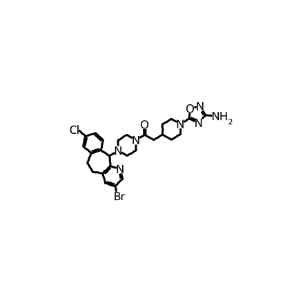 Nc1noc(N2CCC(CC(=O)N3CCN(C4c5ccc(Cl)cc5CCc5cc(Br)cnc54)CC3)CC2)n1